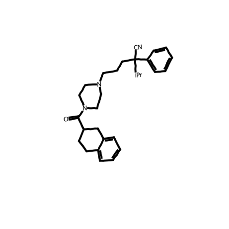 CC(C)C(C#N)(CCCN1CCN(C(=O)C2CCc3ccccc3C2)CC1)c1ccccc1